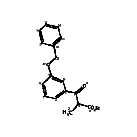 CCOC(=O)C(C)C(=O)c1cccc(OCc2ccccc2)c1